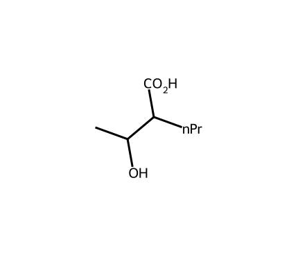 CCCC(C(=O)O)C(C)O